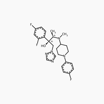 C[C@@H](N(C)C1CCN(c2ccc(F)cc2)CC1)[C@](O)(Cn1cncn1)c1ccc(F)cc1F